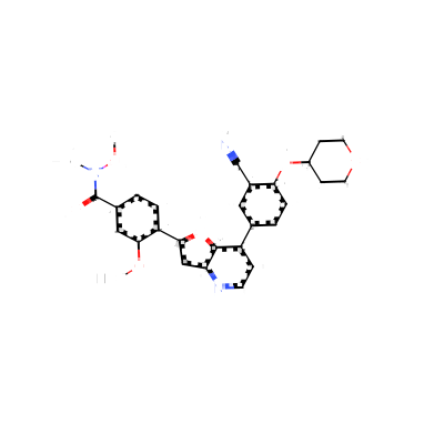 COc1cc(C(=O)N(C)OC)ccc1-c1cc2nccc(-c3ccc(OC4CCOCC4)c(C#N)c3)c2o1